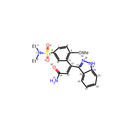 CCN(CC)S(=O)(=O)c1ccc(OC)c(C(=CC(N)=O)c2n[nH]c3ccccc23)c1